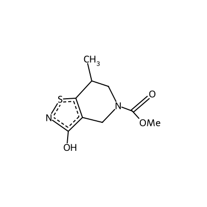 COC(=O)N1Cc2c(O)nsc2C(C)C1